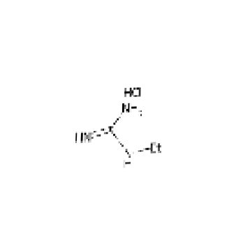 Cl.[CH2]CNC(=N)N